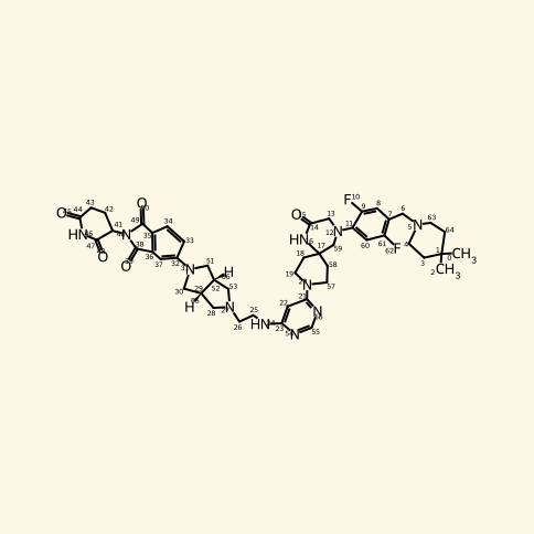 CC1(C)CCN(Cc2cc(F)c(N3CC(=O)NC4(CCN(c5cc(NCCN6C[C@@H]7CN(c8ccc9c(c8)C(=O)N(C8CCC(=O)NC8=O)C9=O)C[C@@H]7C6)ncn5)CC4)C3)cc2F)CC1